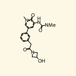 CNC(=O)Nc1cc(-c2cccc(CC(=O)N3CC(O)C3)c2)cn(C)c1=O